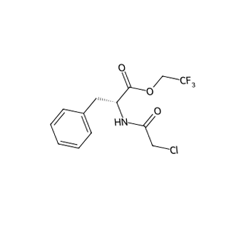 O=C(CCl)N[C@H](Cc1ccccc1)C(=O)OCC(F)(F)F